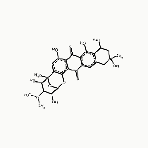 CCCCC1CC(C)(O)Cc2cc3c(c(O)c21)C(=O)c1c(O)cc2c(c1C3=O)OC1OC2(C)C(O)C(N(C)C)C1O